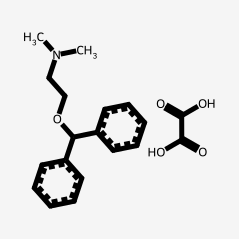 CN(C)CCOC(c1ccccc1)c1ccccc1.O=C(O)C(=O)O